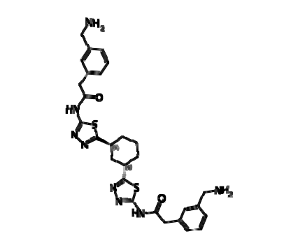 NCc1cccc(CC(=O)Nc2nnc([C@H]3CCC[C@H](c4nnc(NC(=O)Cc5cccc(CN)c5)s4)C3)s2)c1